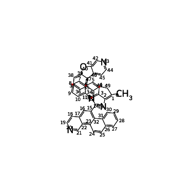 C\C1=C(c2ccc3ccccc3c2)/N=C(c2cc3ccncc3c3ccc4ccccc4c23)\N=C(\c2cccc3oc4cnccc4c23)CC1